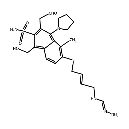 Cc1c(SCC=CCNC=NN)ccc2c(CO)c(S(N)(=O)=O)c(CC=O)c(N3CCCC3)c12